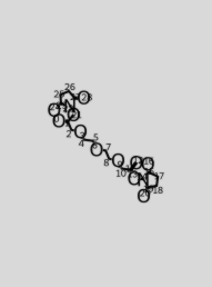 O=C(COCCOCCOCC(=O)ON1C(=O)CCC1=O)ON1C(=O)CCC1=O